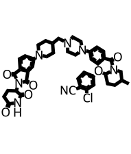 CC1CCC(Oc2ccc(C#N)c(Cl)c2)N(C(=O)c2ccc(N3CCN(CC4CCN(c5ccc6c(c5)C(=O)N(C5CCC(=O)NC5=O)C6=O)CC4)CC3)cc2)C1